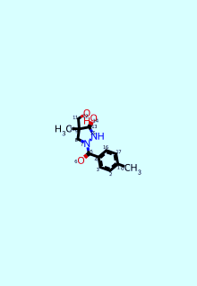 Cc1ccc(C(=O)N2CC(C)(CO)C(=O)N2)cc1